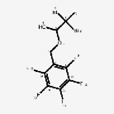 CCC(C)(C(O)OCc1c(F)c(F)c(F)c(F)c1F)C(C)(C)C